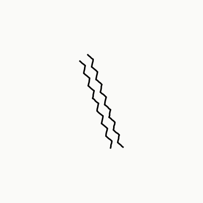 CCCCCCCCCCCCCCC.CCCCCCCCCCCCCCCC